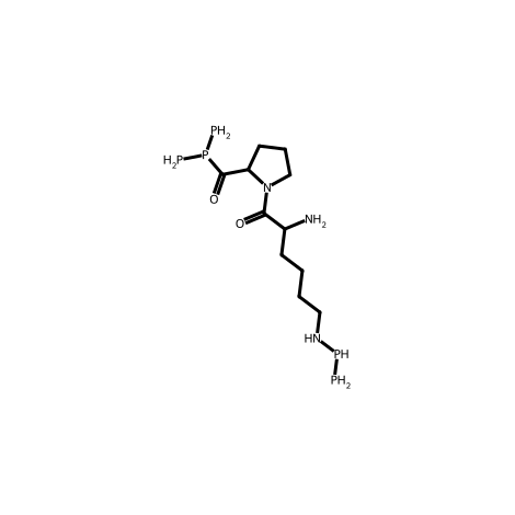 NC(CCCCNPP)C(=O)N1CCCC1C(=O)P(P)P